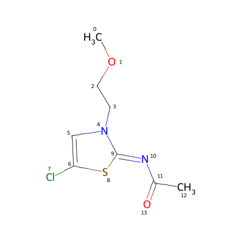 COCCn1cc(Cl)s/c1=N\C(C)=O